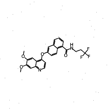 COc1cc2nccc(Oc3ccc4c(C(=O)NCCC(F)(F)F)cccc4c3)c2cc1OC